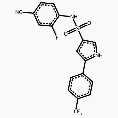 N#Cc1ccc(NS(=O)(=O)c2c[nH]c(-c3ccc(C(F)(F)F)cc3)c2)c(F)c1